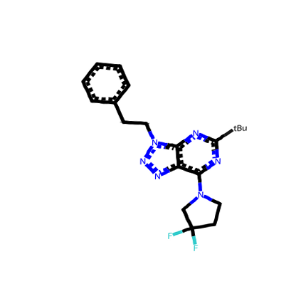 CC(C)(C)c1nc(N2CCC(F)(F)C2)c2nnn([CH][CH]c3ccccc3)c2n1